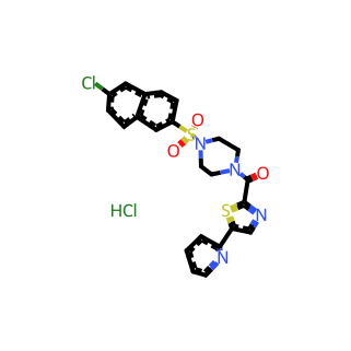 Cl.O=C(c1ncc(-c2ccccn2)s1)N1CCN(S(=O)(=O)c2ccc3cc(Cl)ccc3c2)CC1